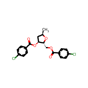 C[C@@H]1C[C@H](OC(=O)c2ccc(Cl)cc2)[C@@H](COC(=O)c2ccc(Cl)cc2)O1